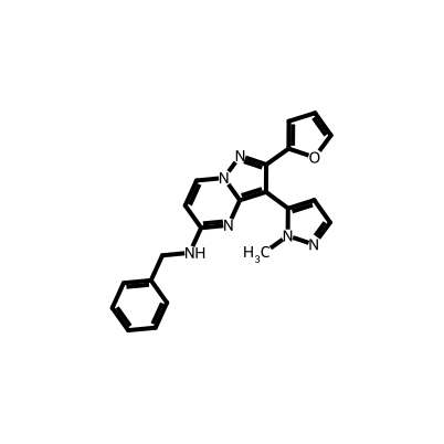 Cn1nccc1-c1c(-c2ccco2)nn2ccc(NCc3ccccc3)nc12